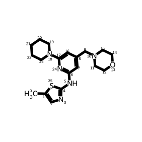 Cc1cnc(Nc2cc(CN3CCOCC3)cc(N3CC[CH]CC3)n2)s1